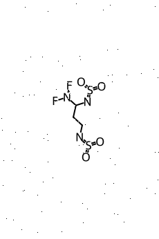 O=S(=O)=NCCC(N=S(=O)=O)N(F)F